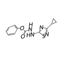 O=C(NNc1nc(C2CC2)ns1)Oc1ccccc1